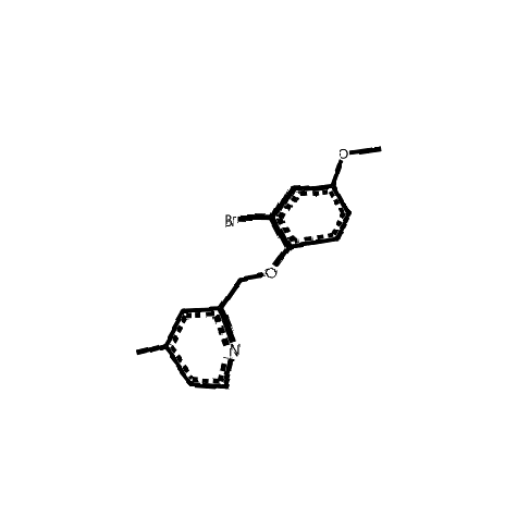 COc1ccc(OCc2cc(C)ccn2)c(Br)c1